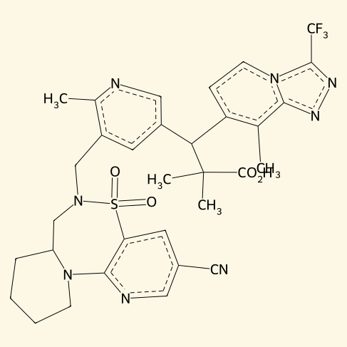 Cc1ncc(C(c2ccn3c(C(F)(F)F)nnc3c2C)C(C)(C)C(=O)O)cc1CN1CC2CCCCN2c2ncc(C#N)cc2S1(=O)=O